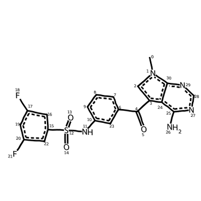 Cn1cc(C(=O)c2cccc(NS(=O)(=O)c3cc(F)cc(F)c3)c2)c2c(N)ncnc21